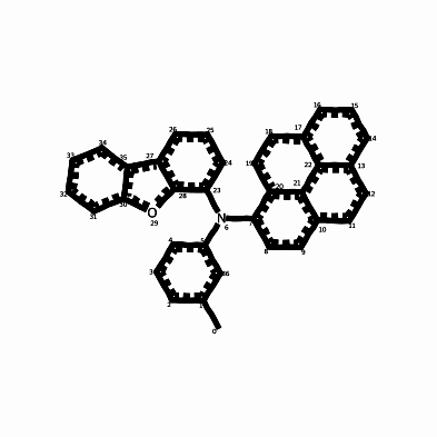 Cc1cccc(N(c2ccc3ccc4cccc5ccc2c3c45)c2cccc3c2oc2ccccc23)c1